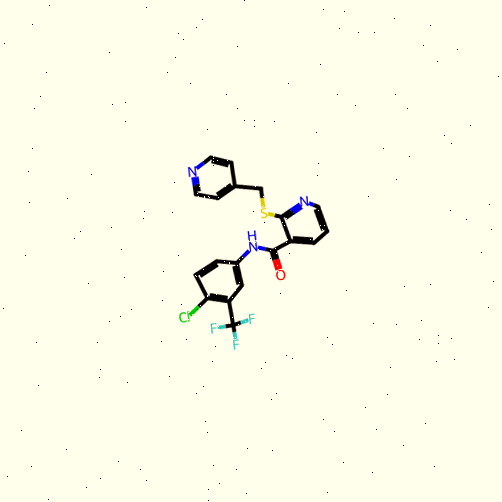 O=C(Nc1ccc(Cl)c(C(F)(F)F)c1)c1cccnc1SCc1ccncc1